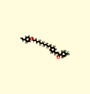 C=Cc1ccc(OCCCCCCCCCCc2ccc(/C=C/C(=O)c3ccc(F)cc3)cc2)cc1